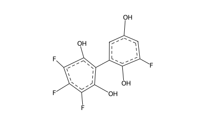 Oc1cc(F)c(O)c(-c2c(O)c(F)c(F)c(F)c2O)c1